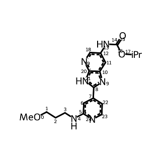 COCCCNc1cc(-c2nc3cc(NC(=O)OC(C)C)cnc3[nH]2)ccn1